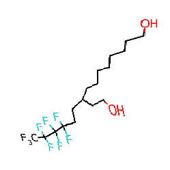 OCCCCCCCCC(CCO)CCC(F)(F)C(F)(F)C(F)(F)C(F)(F)F